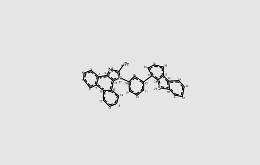 CC(C)c1nc2c3ccccc3c3ccccc3c2n1-c1cccc(-c2cccc3c2sc2ccccc23)c1